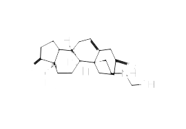 CCNCC[C@]12CCC(=O)CC1=CC[C@@H]1[C@@H]2CC[C@]2(C)C(=O)CC[C@@H]12